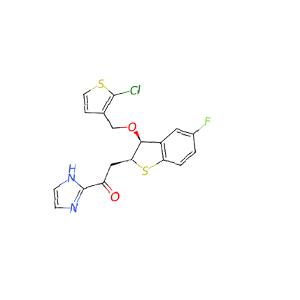 O=C(C[C@@H]1Sc2ccc(F)cc2[C@@H]1OCc1ccsc1Cl)c1ncc[nH]1